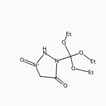 CCOC(OCC)(OCC)N1N[N+](=O)CC1=O